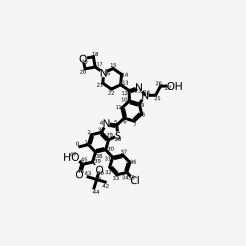 Cc1cc2nc(-c3ccc4c(c3)c(C3CCN(C5COC5)CC3)nn4CCO)sc2c(-c2ccc(Cl)cc2)c1[C@H](OC(C)(C)C)C(=O)O